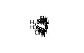 COc1cccc2c(C(=O)N3[C@@H]4C[C@@H]4C[C@H]3c3ncc(-c4ccc5cc(-c6cnc([C@@H]7C[C@H]8C[C@H]8N7C(=O)c7nc(Cl)cc8c(OC)cccc78)[nH]6)ccc5c4)[nH]3)nc(Cl)cc12